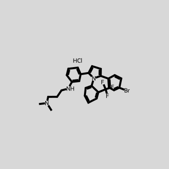 CN(C)CCCNc1cccc(-c2ccc(-c3ccc(Br)cc3)n2-c2ccccc2C(F)(F)F)c1.Cl